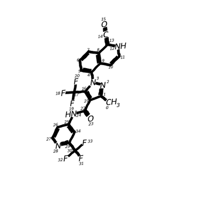 Cc1nn(-c2cccc3c2C=CNC3=C=O)c(C(F)(F)F)c1C(=O)Nc1ccnc(C(F)(F)F)c1